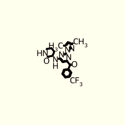 Cc1cc(C)n(-c2nc(NC3CCCNC3=O)cc(C(=O)c3cccc(C(F)(F)F)c3)n2)n1